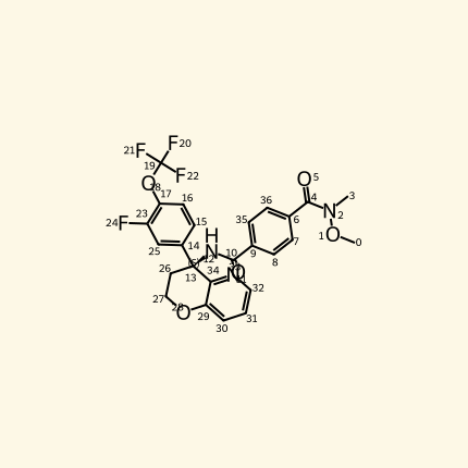 CON(C)C(=O)c1ccc(C(=O)N[C@]2(c3ccc(OC(F)(F)F)c(F)c3)CCOc3cccnc32)cc1